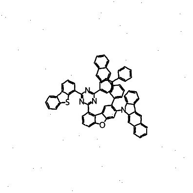 c1ccc(-c2ccc(-c3nc(-c4cccc5c4sc4ccccc45)nc(-c4cccc5oc6cc(-n7c8ccccc8c8cc9ccccc9cc87)c(-c7cccc(-c8ccc9ccccc9c8)c7)cc6c45)n3)cc2)cc1